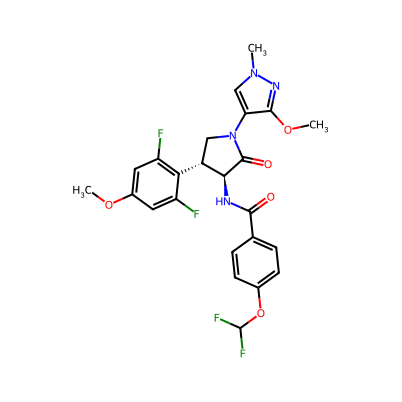 COc1cc(F)c([C@@H]2CN(c3cn(C)nc3OC)C(=O)[C@H]2NC(=O)c2ccc(OC(F)F)cc2)c(F)c1